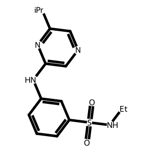 CCNS(=O)(=O)c1cccc(Nc2cncc(C(C)C)n2)c1